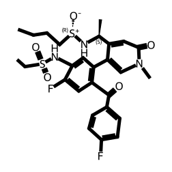 CCCC[S@+]([O-])N[C@@H](C)c1cc(=O)n(C)cc1-c1cc(NS(=O)(=O)CC)c(F)cc1C(=O)c1ccc(F)cc1